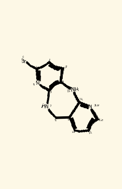 Brc1ccc2c(n1)NCc1cccnc1N2